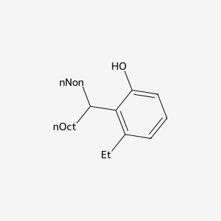 CCCCCCCCCC(CCCCCCCC)c1c(O)cccc1CC